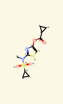 CN(c1nc(OC(=O)C2CC2)cs1)S(=O)(=O)C1CC1